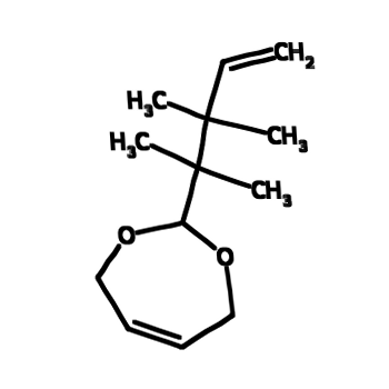 C=CC(C)(C)C(C)(C)C1OCC=CCO1